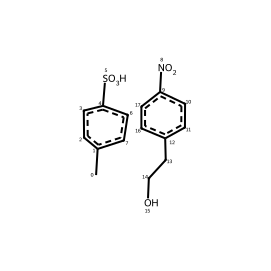 Cc1ccc(S(=O)(=O)O)cc1.O=[N+]([O-])c1ccc(CCO)cc1